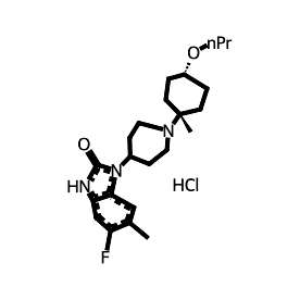 CCCO[C@H]1CC[C@@](C)(N2CCC(n3c(=O)[nH]c4cc(F)c(C)cc43)CC2)CC1.Cl